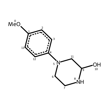 COc1ccc(N2CCNC(O)C2)cc1